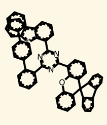 c1ccc(-c2ccc(-c3ccccc3-c3nc(-c4cccc5c4Oc4ccccc4C54c5ccccc5-c5ccccc54)nc(-c4cccc5c4sc4ccccc45)n3)cc2)cc1